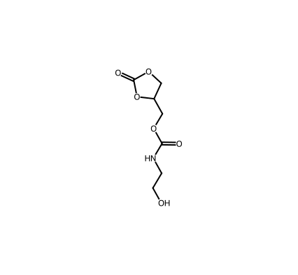 O=C(NCCO)OCC1COC(=O)O1